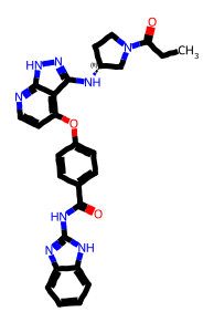 CCC(=O)N1CC[C@@H](Nc2n[nH]c3nccc(Oc4ccc(C(=O)Nc5nc6ccccc6[nH]5)cc4)c23)C1